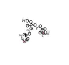 O=P(OO)(OCO[P]12OCC(CO1)CO2)OCO[P]12OCC(CO1)CO2